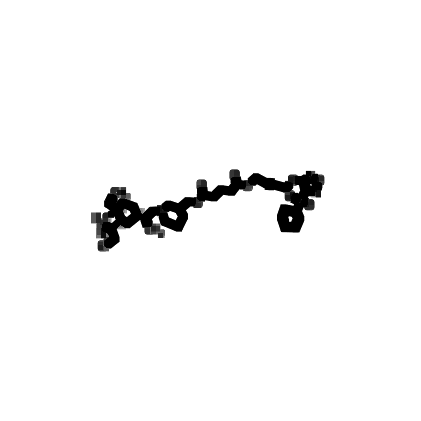 C=C[C@]1(C)CC[C@@H](C(=C)CN2CCCC(COC(=O)CCCC(=O)OCC#CCOc3nonc3S(=O)(=O)c3ccccc3)C2)C[C@H]1C(=C)CCl